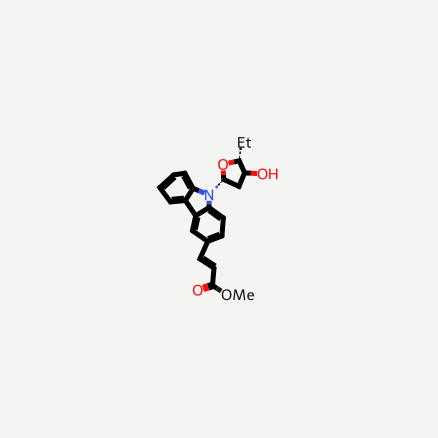 CC[C@H]1O[C@@H](n2c3ccccc3c3cc(/C=C/C(=O)OC)ccc32)CC1O